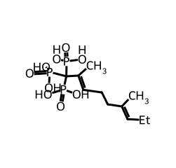 CC/C=C(\C)CC/C=C(\C)C(P(=O)(O)O)(P(=O)(O)O)P(=O)(O)O